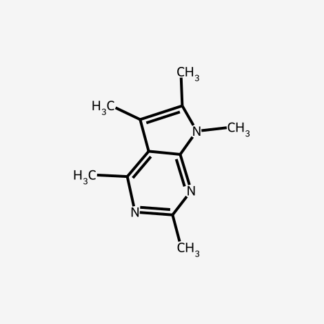 Cc1nc(C)c2c(C)c(C)n(C)c2n1